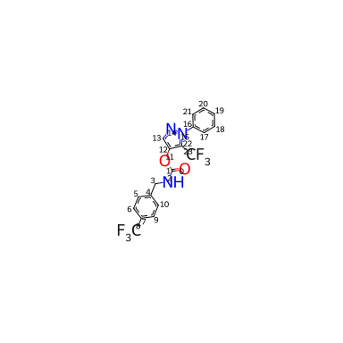 O=C(NCc1ccc(C(F)(F)F)cc1)Oc1cnn(-c2ccccc2)c1C(F)(F)F